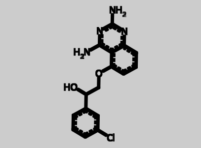 Nc1nc(N)c2c(OCC(O)c3cccc(Cl)c3)cccc2n1